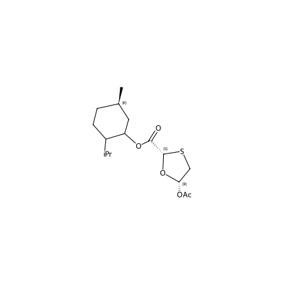 CC(=O)O[C@H]1CS[C@@H](C(=O)OC2C[C@H](C)CCC2C(C)C)O1